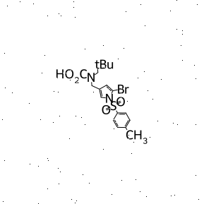 Cc1ccc(S(=O)(=O)n2cc(CN(CC(C)(C)C)C(=O)O)cc2Br)cc1